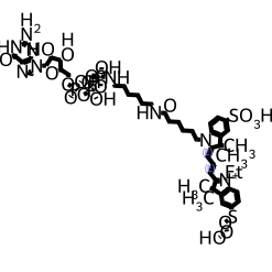 CC[N+]1=C(/C=C/C=C2/N(CCCCCC(=O)NCCCCCCNP(=O)(O)OP(=O)(O)OP(=O)(O)OCC3OC(n4cnc5c(=O)[nH]c(N)nc54)C(O)C3O)c3ccc(S(=O)(=O)O)cc3C2(C)C)C(C)(C)c2cc(SOOO)ccc21